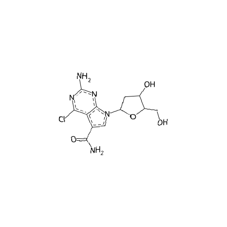 NC(=O)c1cn(C2CC(O)C(CO)O2)c2nc(N)nc(Cl)c12